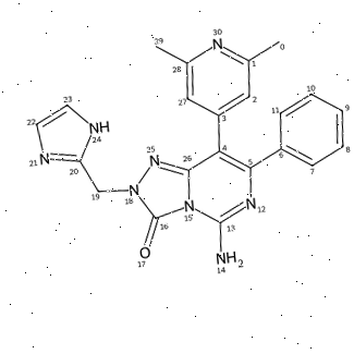 Cc1cc(-c2c(-c3ccccc3)nc(N)n3c(=O)n(Cc4ncc[nH]4)nc23)cc(C)n1